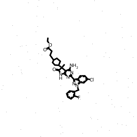 CCOC(=O)CCC1CCC(C2(C)C(=O)Nc3nc(-c4nn(Cc5ccccc5F)c5cc(Cl)ccc45)nc(N)c32)CC1